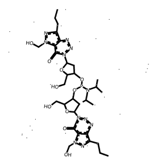 CCCc1nn(CO)c2c(=O)n(C3CC(OP(OC4CC(n5nnc6c(CCC)nn(CO)c6c5=O)OC4CO)N(C(C)C)C(C)C)C(CO)O3)nnc12